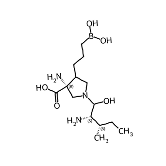 CC[C@H](C)[C@H](N)C(O)N1CC(CCCB(O)O)[C@](N)(C(=O)O)C1